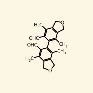 Cc1c(C=O)c(-c2c(C)c3c(c(C)c2C=O)COC3)c(C)c2c1COC2